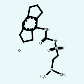 CN(C)CCS(=O)(=O)NC(=O)Nc1c2c(cc3c1CCC3)CCC2.[K]